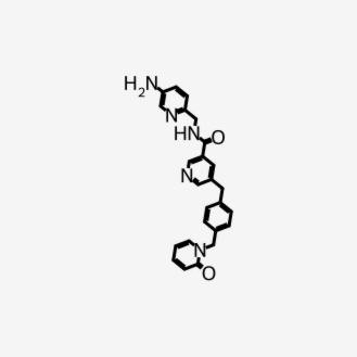 Nc1ccc(CNC(=O)c2cncc(Cc3ccc(Cn4ccccc4=O)cc3)c2)nc1